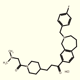 CN(C)CC(=O)N1CCC(CCC(=O)c2ccc3c(c2)CN(Cc2ccc(F)cc2)CCC3)CC1.Cl